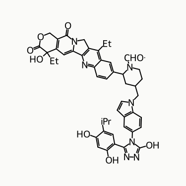 CCc1c2c(nc3ccc(C4CC(Cn5ccc6cc(-n7c(O)nnc7-c7cc(C(C)C)c(O)cc7O)ccc65)CCN4[C]=O)cc13)-c1cc3c(c(=O)n1C2)COC(=O)C3(O)CC